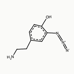 [N-]=[N+]=Nc1cc(CCN)ccc1O